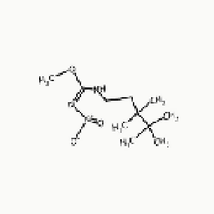 COC(=N[N+](=O)[O-])NCCC(C)(C)C(C)(C)C